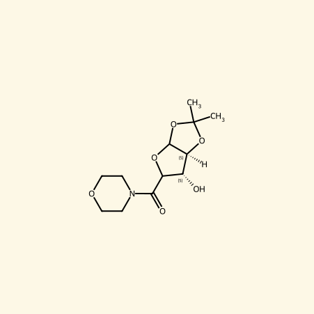 CC1(C)OC2OC(C(=O)N3CCOCC3)[C@@H](O)[C@@H]2O1